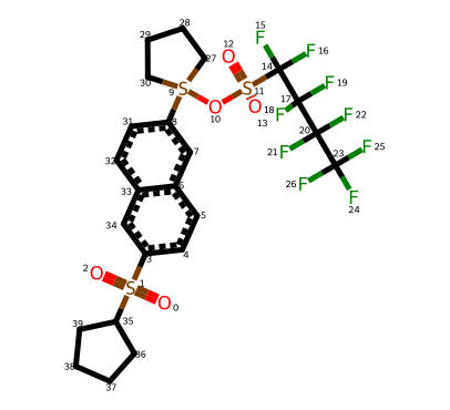 O=S(=O)(c1ccc2cc(S3(OS(=O)(=O)C(F)(F)C(F)(F)C(F)(F)C(F)(F)F)CCCC3)ccc2c1)C1CCCC1